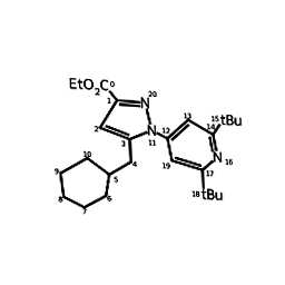 CCOC(=O)c1cc(CC2CCCCC2)n(-c2cc(C(C)(C)C)nc(C(C)(C)C)c2)n1